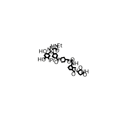 CCNC(=O)c1nnc(-c2cc(C(C)C)c(O)cc2O)n1-c1ccc(C(=O)N2CCC(COC(=O)Nc3cccc4c3CN(C3CCC(=O)NC3=O)C4=O)CC2)cc1